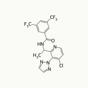 CC(NC(=O)c1cc(C(F)(F)F)cc(C(F)(F)F)c1)c1nccc(Cl)c1-n1nccn1